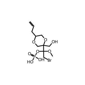 C=CCC1COC(CO)(C(CBr)(OC)OP(=O)(O)O)CO1